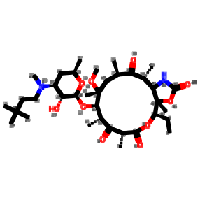 CC[C@H]1OC(=O)[C@H](C)C(=O)[C@H](C)[C@@H](O[C@@H]2O[C@H](C)C[C@H](N(C)CCC(C)(C)C)[C@H]2O)[C@](C)(OC)C[C@@H](C)C(=O)[C@H](C)C2NC(=O)O[C@@]21C